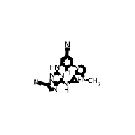 CNC1CCN(c2cc(C#N)cc(Nc3nc(NC4CC4)c4ncc(C#N)n4n3)c2Cl)C1